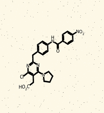 O=C(O)Cc1c(Cl)nc(Cc2ccc(NC(=O)c3ccc([N+](=O)[O-])cc3)cc2)nc1N1CCCC1